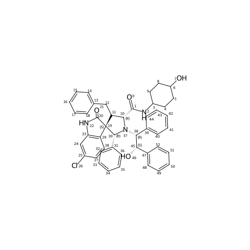 O=C(NC1CCC(O)CC1)[C@H]1C(Cc2ccccc2)[C@@]2(C(=O)Nc3cc(Cl)ccc32)[C@@H](c2ccccc2)N1[C@H](c1ccccc1)[C@@H](O)c1ccccc1